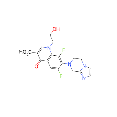 O=C(O)c1cn(CCO)c2c(F)c(N3CCn4ccnc4C3)c(F)cc2c1=O